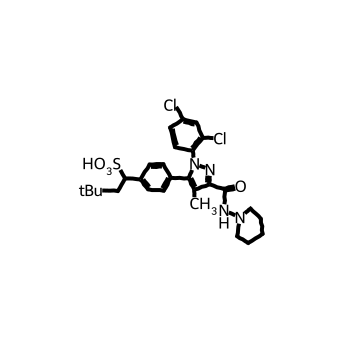 Cc1c(C(=O)NN2CCCCC2)nn(-c2ccc(Cl)cc2Cl)c1-c1ccc(C(CC(C)(C)C)S(=O)(=O)O)cc1